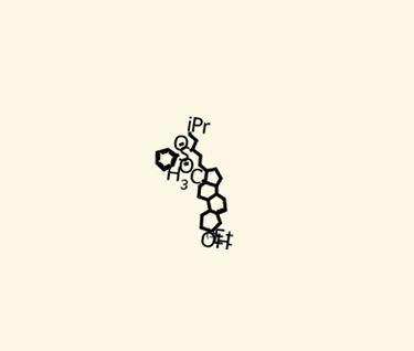 CC[C@]1(O)CCC2C(=CCC3C2CCC2(C)C(CCC(CCC(C)C)S(=O)(=O)c4ccccc4)CCC32)C1